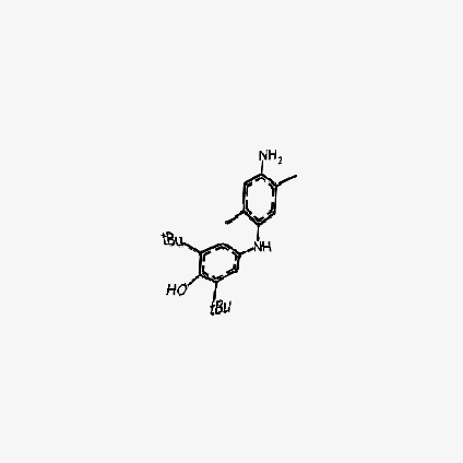 Cc1cc(Nc2cc(C(C)(C)C)c(O)c(C(C)(C)C)c2)c(C)cc1N